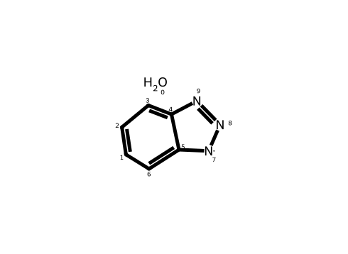 O.c1ccc2c(c1)[N]N=N2